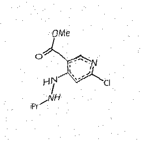 COC(=O)c1cnc(Cl)cc1NNC(C)C